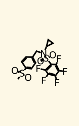 CS(=O)(=O)c1ccc(CN(C2CC2)S(=O)(=O)c2c(F)c(F)c(F)c(F)c2F)cc1